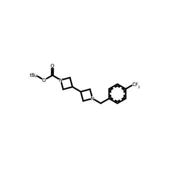 CC(C)(C)OC(=O)N1CC(C2CN(Cc3ccc(C(F)(F)F)cc3)C2)C1